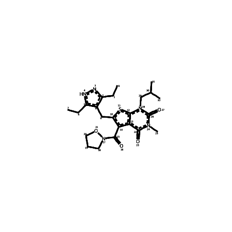 CCc1n[nH]c(CC)c1Cc1sc2c(c1C(=O)N1CCCO1)c(=O)n(C)c(=O)n2CC(C)C